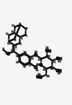 CO/C(=C1/CC2CCC3CC1CC2C3)c1ccc(Cl)c(OC2OC(CO)C(O)C(O)C2O)c1